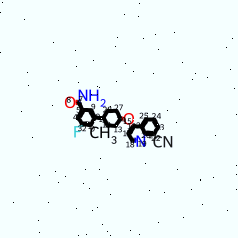 Cc1c(F)cc(C(N)=O)cc1C1CCC(Oc2ccnc3c(C#N)cccc23)CC1